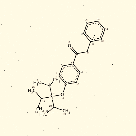 CC(C)[Si](Oc1ccc(C(=O)Cc2cccnc2)cc1)(C(C)C)C(C)C